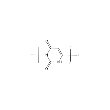 CC(C)(C)n1c(=O)cc(C(F)(F)F)[nH]c1=O